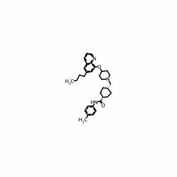 CCCCc1cc(OC2CCN(C[C@H]3CC[C@H](C(=O)Nc4ccc(C)cc4)CC3)CC2)c2ncccc2c1